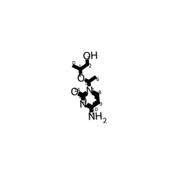 CC(CO)OC(C)n1ccc(N)nc1=O